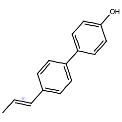 C/C=C/c1ccc(-c2ccc(O)cc2)cc1